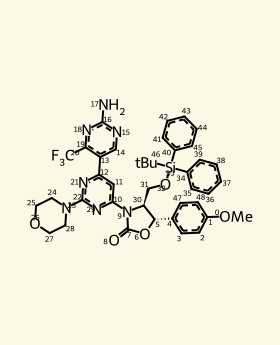 COc1ccc([C@@H]2OC(=O)N(c3cc(-c4cnc(N)nc4C(F)(F)F)nc(N4CCOCC4)n3)[C@H]2CO[Si](c2ccccc2)(c2ccccc2)C(C)(C)C)cc1